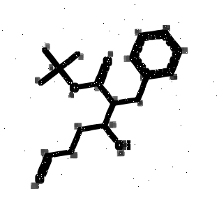 CC(C)(C)OC(=O)C(Cc1ccccc1)C(O)CC[C]=O